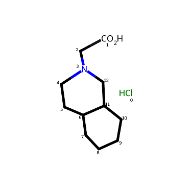 Cl.O=C(O)CN1CCC2CCCCC2C1